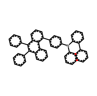 c1ccc(-c2ccccc2N(c2ccccc2)c2ccc(-c3cccc4c(-c5ccccc5)c(-c5ccccc5)c5ccccc5c34)cc2)cc1